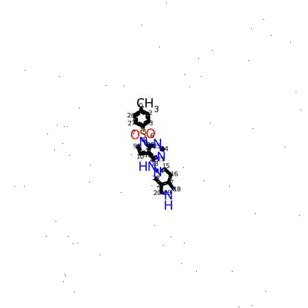 Cc1ccc(S(=O)(=O)n2ccc3c(NN4CCC5CNCC5C4)ncnc32)cc1